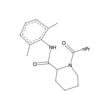 CCCC(=O)N1CCCCC1C(=O)Nc1c(C)cccc1C